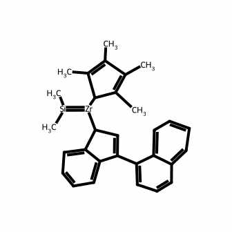 CC1=C(C)[CH]([Zr]([CH]2C=C(c3cccc4ccccc34)c3ccccc32)=[Si](C)C)C(C)=C1C